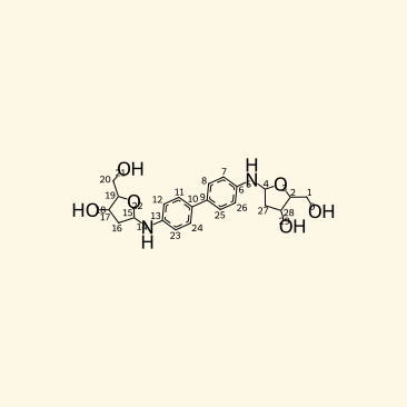 OCC1OC(Nc2ccc(-c3ccc(NC4CC(O)C(CO)O4)cc3)cc2)CC1O